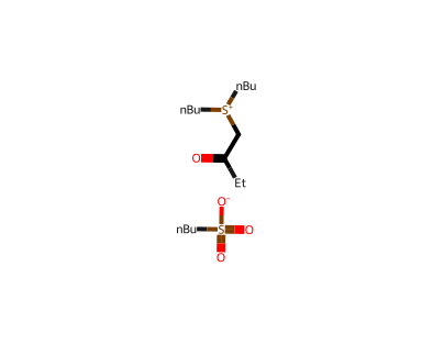 CCCCS(=O)(=O)[O-].CCCC[S+](CCCC)CC(=O)CC